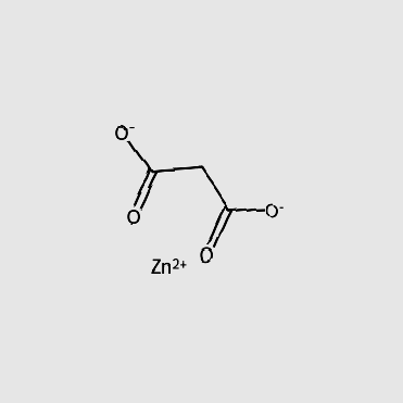 O=C([O-])CC(=O)[O-].[Zn+2]